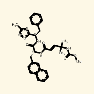 Cc1noc([C@@H](Cc2ccccc2)NC(=O)[C@@H](Cc2ccc3ccccc3c2)NC(=O)C=CC(C)(C)NC(=O)OC(C)(C)C)n1